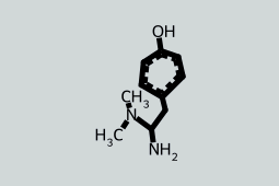 CN(C)C(N)Cc1ccc(O)cc1